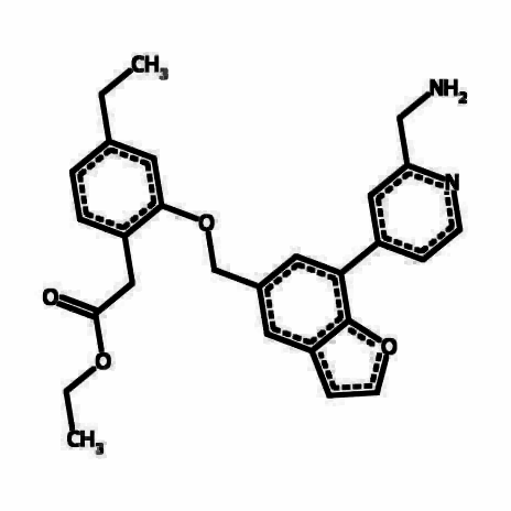 CCOC(=O)Cc1ccc(CC)cc1OCc1cc(-c2ccnc(CN)c2)c2occc2c1